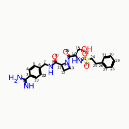 N=C(N)c1ccc(CNC(=O)C2CCN2C(=O)[C@@H](CO)NS(=O)(=O)CCc2ccccc2)cc1